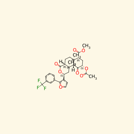 COC(=O)[C@@H]1C[C@H](OC(C)=O)C(=O)[C@H]2[C@@]1(C)CC[C@H]1C(=O)O[C@H](c3ccoc3-c3cccc(C(F)(F)F)c3)C[C@]21C